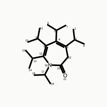 CC(C)C1=C(C(C)C)C(C(C)C)=C(C(C)C)N(C(C)C)C(=O)C1